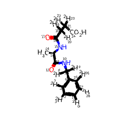 [2H]c1c([2H])c([2H])c(C([2H])([2H])NC(=O)[C@@H](C)NC(=O)C([2H])([2H])C([2H])([2H])C(=O)O)c([2H])c1[2H]